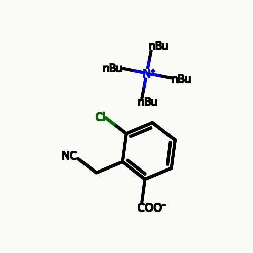 CCCC[N+](CCCC)(CCCC)CCCC.N#CCc1c(Cl)cccc1C(=O)[O-]